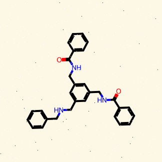 O=C(NCc1cc(CNCc2ccccc2)cc(CNC(=O)c2ccccc2)c1)c1ccccc1